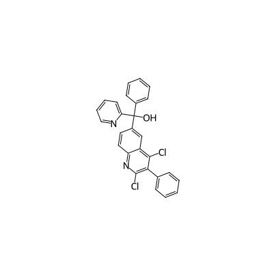 OC(c1ccccc1)(c1ccc2nc(Cl)c(-c3ccccc3)c(Cl)c2c1)c1ccccn1